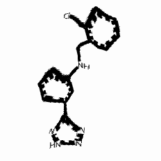 Clc1ccccc1CNc1cccc(-c2nn[nH]n2)c1